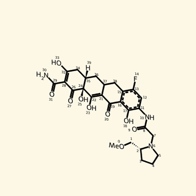 COC[C@H]1CCCN1CC(=O)Nc1cc(F)c2c(c1O)C(=O)C1=C(O)[C@]3(O)C(=O)C(C(N)=O)=C(O)C[C@@H]3CC1C2